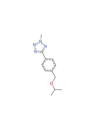 CC(C)OCc1ccc(-c2nnn(C)n2)cc1